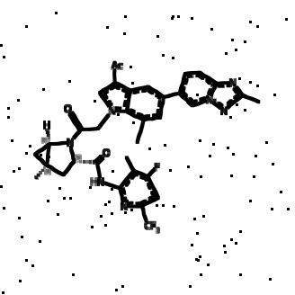 CC(=O)c1cn(CC(=O)N2[C@H](C(=O)Nc3nc(C(F)(F)F)cc(F)c3C)C[C@@]3(C)C[C@@H]23)c2c(C)cc(-c3ccc4nc(C)nn4c3)cc12